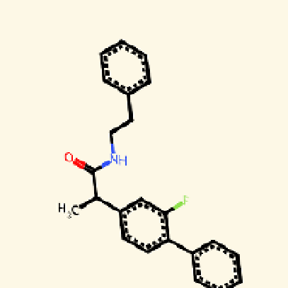 CC(C(=O)NCCc1ccccc1)c1ccc(-c2ccccc2)c(F)c1